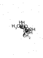 C=CCO[C@@H]1[C@H](O)[C@@H](CO)O[C@H]1N1Cc2cc(C)[nH]c2NC1=O